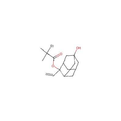 C=CC1(OC(=O)C(C)(C)CC)C2CC3CC1CC(O)(C3)C2